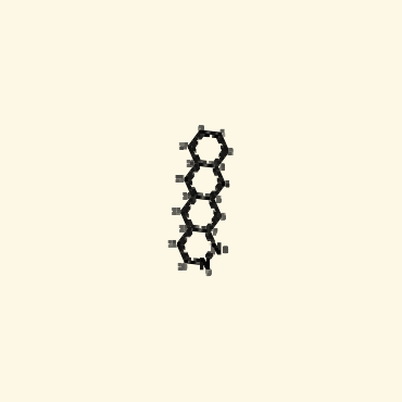 c1ccc2cc3cc4nnccc4cc3cc2c1